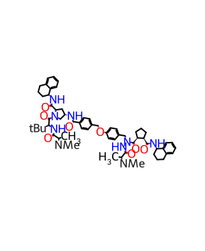 CNC(C)C(=O)NC(C(=O)N1C[C@@H](NC(=O)c2ccc(COc3ccc(CN(NC(=O)C(C)NC)C(=O)[C@H]4CCC[C@H]4C(=O)N[C@@H]4CCCc5ccccc54)cc3)cc2)CC1C(=O)N[C@@H]1CCCc2ccccc21)C(C)(C)C